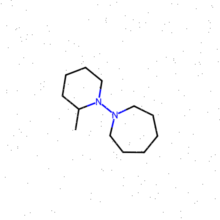 CC1CCCCN1N1CCCCCC1